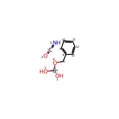 N=C=O.OB(O)OCc1ccccc1